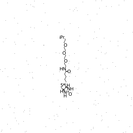 CC(C)CCOCCOCCOCCNC(=O)CCCC[C@H]1SC[C@H]2NC(=O)N[C@H]21